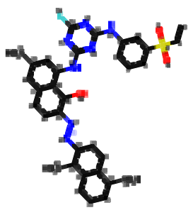 C=CS(=O)(=O)c1cccc(Nc2nc(F)nc(Nc3cc(S(=O)(=O)O)cc4ccc(/N=N/c5ccc6c(S(=O)(=O)O)cccc6c5S(=O)(=O)O)c(O)c34)n2)c1